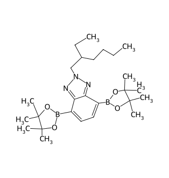 CCCCC(CC)Cn1nc2c(B3OC(C)(C)C(C)(C)O3)ccc(B3OC(C)(C)C(C)(C)O3)c2n1